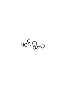 O=C(O)Cc1cccc2c1OCC2c1ccccc1